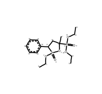 CCOP1(=O)OC(C)(P(=O)(OCC)OCC)CC1c1ccccc1